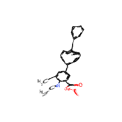 C=Nc1c(C)cc(-c2ccc(-c3ccccc3)cc2)cc1C(=O)O